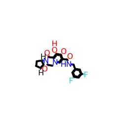 O=C(NCc1cc(F)cc(F)c1)c1cn2c(c(O)c1=O)C(=O)N1C(C2)O[C@H]2CC[C@@H]1C2